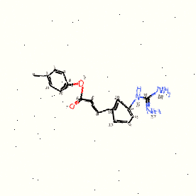 Cc1ccc(OC(=O)CCc2cccc(NC(=N)N)c2)cc1